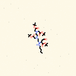 CCCCCNN(CCN(CCN(CC(=O)OC(C)(C)C)CC(=O)OC(C)(C)C)CC(=O)OC(C)(C)C)C(C=C=O)C(=O)OC(C)(C)C